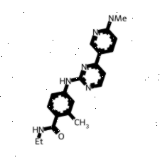 CCNC(=O)c1ccc(Nc2nccc(-c3ccc(NC)nc3)n2)cc1C